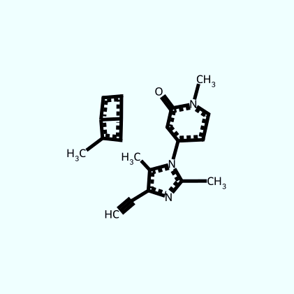 C#Cc1nc(C)n(-c2ccn(C)c(=O)c2)c1C.Cc1cc2ccc1-2